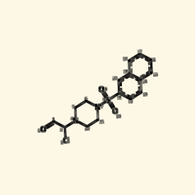 O=CC(Cl)N1CCN(S(=O)(=O)c2ccc3ccccc3c2)CC1